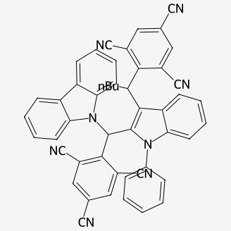 CCCCC(c1c(C#N)cc(C#N)cc1C#N)c1c(C(c2c(C#N)cc(C#N)cc2C#N)n2c3ccccc3c3ccccc32)n(-c2ccccc2)c2ccccc12